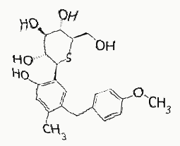 COc1ccc(Cc2cc([C@@H]3S[C@H](CO)[C@@H](O)[C@H](O)[C@H]3O)c(O)cc2C)cc1